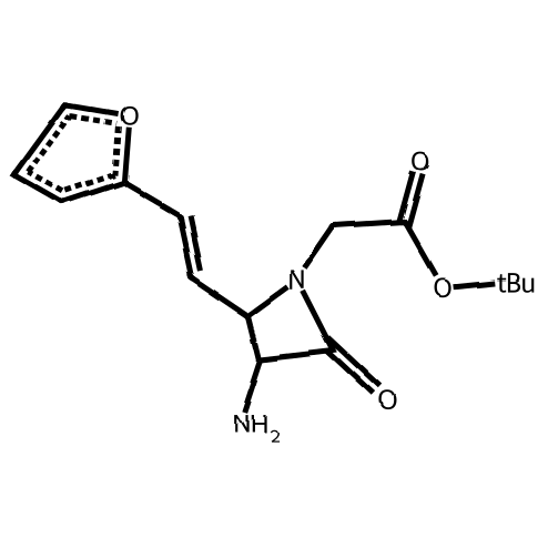 CC(C)(C)OC(=O)CN1C(=O)C(N)C1C=Cc1ccco1